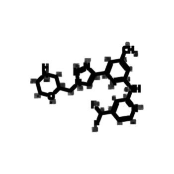 Cc1cc(Nc2cc(C(F)F)ccn2)nc(-c2cn(CC3CNCCO3)nn2)c1